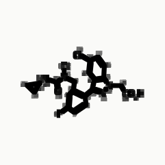 CCN(Cc1cc(F)ccc1-c1nn(CC(=O)O)c2ccc(Cl)cc12)C(=O)NC1CC1